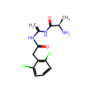 C=C(NC(=O)Cc1c(Cl)cccc1Cl)NC(=O)[C@@H](C)N